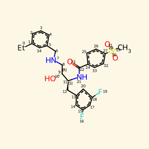 CCc1cccc(CNC[C@@H](O)[C@H](Cc2cc(F)cc(F)c2)NC(=O)c2ccc(S(C)(=O)=O)cc2)c1